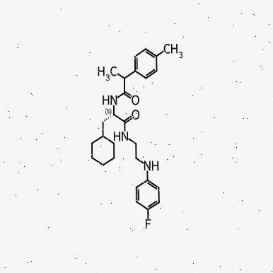 Cc1ccc(C(C)C(=O)N[C@@H](CC2CCCCC2)C(=O)NCCNc2ccc(F)cc2)cc1